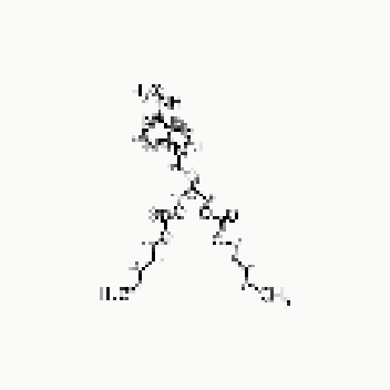 CCCCCOC(=O)OCC(COC(=O)OCCCCC)OCn1cnc2c(NC)ncnc21